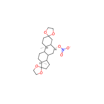 C[C@]12CCC3(CC1[C@H](O[N+](=O)[O-])CC1C2CC[C@@]2(C)C1CCC21OCCO1)OCCO3